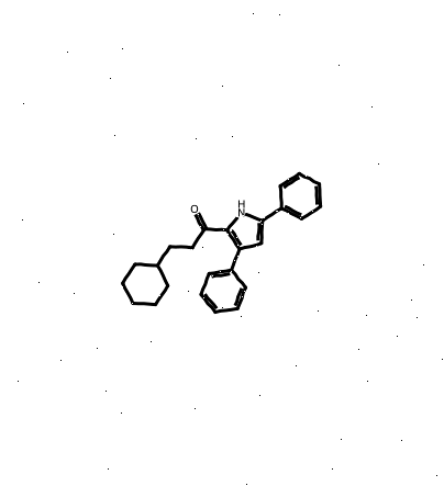 O=C(CCC1CCCCC1)c1[nH]c(-c2ccccc2)cc1-c1ccccc1